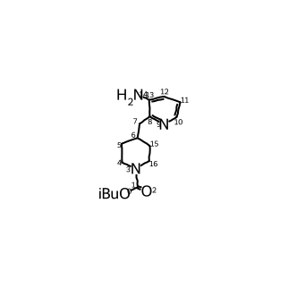 CC(C)COC(=O)N1CCC(Cc2ncccc2N)CC1